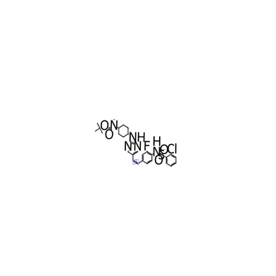 CN(C(=O)OC(C)(C)C)[C@H]1CC[C@H](Nc2ncc(/C=C\c3ccc(NS(=O)(=O)c4ccccc4Cl)c(F)c3)cn2)CC1